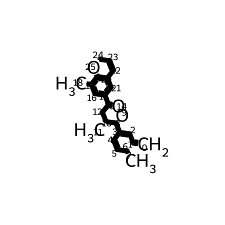 C=C/C=C(\C=C/CC)C(=O)C(C)CC(=O)c1cc(C)c2c(c1)C=CCO2